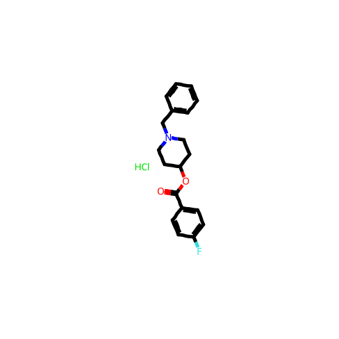 Cl.O=C(OC1CCN(Cc2ccccc2)CC1)c1ccc(F)cc1